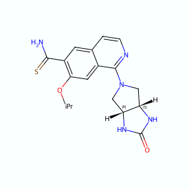 CC(C)Oc1cc2c(N3C[C@@H]4NC(=O)N[C@@H]4C3)nccc2cc1C(N)=S